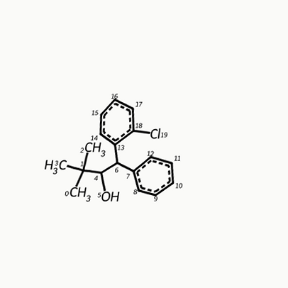 CC(C)(C)C(O)C(c1ccccc1)c1ccccc1Cl